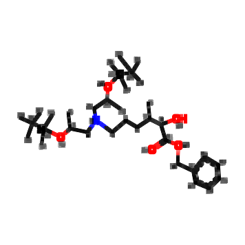 CC(CN(CCCC(C)C(O)C(=O)OCc1ccccc1)CC(C)O[Si](C)(C)C(C)(C)C)O[Si](C)(C)C(C)(C)C